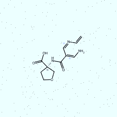 C=C/N=C\C(=C/N)C(=O)N[C@@]1(C(=O)O)CCOC1